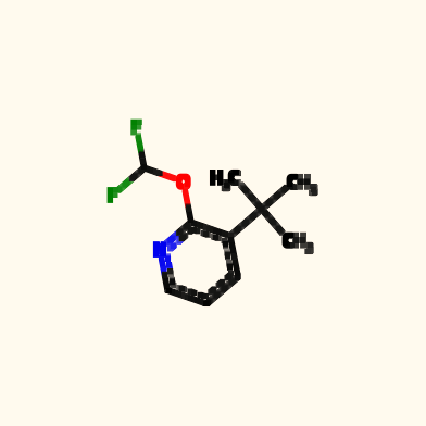 CC(C)(C)c1cccnc1OC(F)F